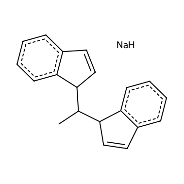 CC(C1C=Cc2ccccc21)C1C=Cc2ccccc21.[NaH]